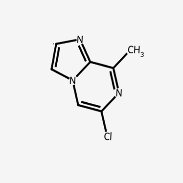 Cc1nc(Cl)cn2c[c]nc12